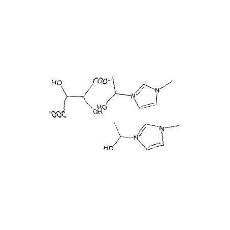 CC(O)[n+]1ccn(C)c1.CC(O)[n+]1ccn(C)c1.O=C([O-])C(O)C(O)C(=O)[O-]